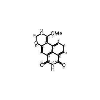 COC1=c2c(cc3c4c2=CCC=C4C(=O)NC3=O)OCO1